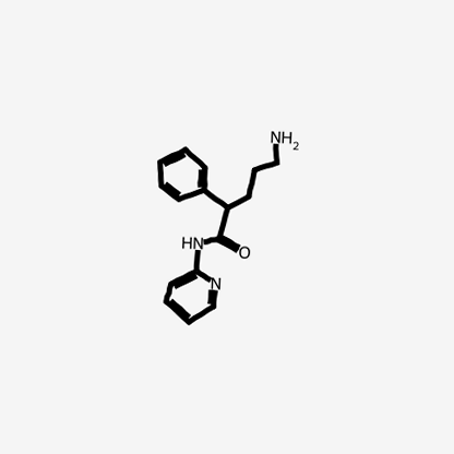 NCCCC(C(=O)Nc1ccccn1)c1ccccc1